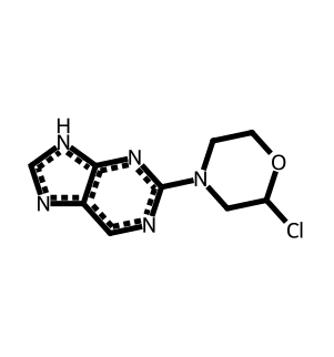 ClC1CN(c2ncc3nc[nH]c3n2)CCO1